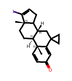 C[C@]12C=CC(=O)C=C1C1(CC1)C[C@H]1C3CC=C(I)[C@@]3(C)CC[C@@H]12